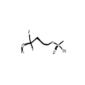 CCOC(F)(F)CCOP(C)(=O)O